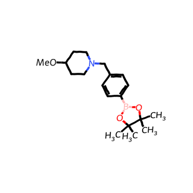 COC1CCN(Cc2ccc(B3OC(C)(C)C(C)(C)O3)cc2)CC1